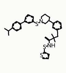 C=C(NSc1cccs1)C(C)(C)Cc1cccc(C2CCCN(Sc3cccc(-c4ccc(C(C)C)cc4)c3)C2)c1